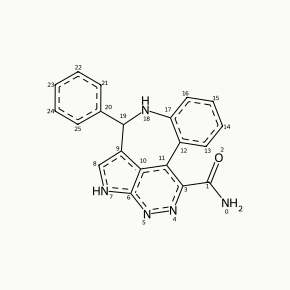 NC(=O)c1nnc2[nH]cc3c2c1-c1ccccc1NC3c1ccccc1